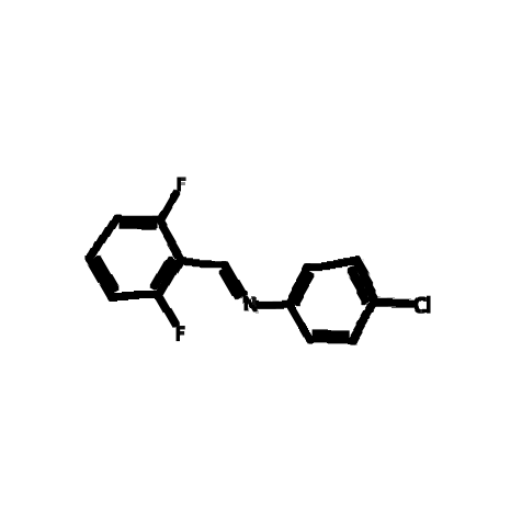 Fc1cccc(F)c1C=Nc1ccc(Cl)cc1